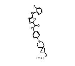 CCOC(=O)CC1CC2(CCN(c3ccc(NC(=O)c4nnc(Nc5ccccc5F)o4)cc3)CC2)C1